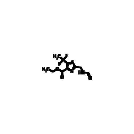 CCOC(=O)c1nc(CNC=O)sc1C(C)(F)F